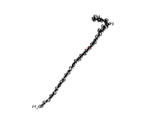 COCCOCCOCCOCCOCCOCCOCCOCCOCCOCCOCCOCCOCCOCCOCCOCCOCCOCCOCCOCCOCCOCCOC(=O)COCC(=O)OC1CNC(C(=O)NCc2ccc(-c3scnc3C)cc2)C1